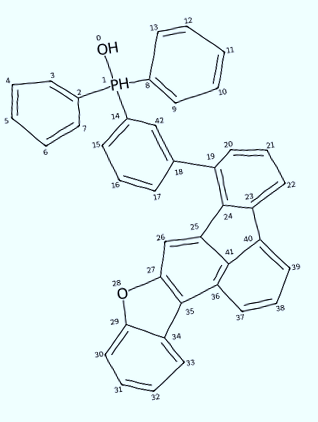 O[PH](c1ccccc1)(c1ccccc1)c1cccc(-c2cccc3c2-c2cc4oc5ccccc5c4c4cccc-3c24)c1